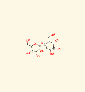 OCC1O[C@H](O[C@H]2C(O)C(O)[C@H](O)C(O)C2CO)CC(O)[C@@H]1O